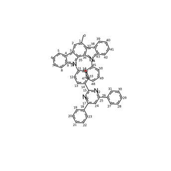 Cc1cc2c3ccccc3n(-c3ccc(-c4nc(-c5ccccc5)cc(-c5ccccc5)n4)cc3)c2c2c1c1ccccc1n2-c1ccccc1